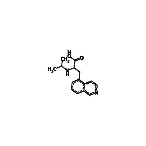 CC(C)NC(Cc1cccc2cnccc12)C(=O)O